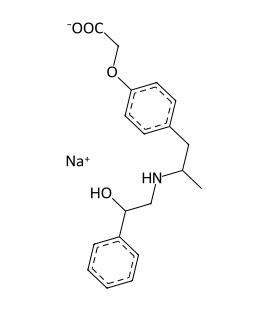 CC(Cc1ccc(OCC(=O)[O-])cc1)NCC(O)c1ccccc1.[Na+]